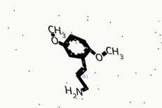 COc1ccc(OC)c(/C=C/CN)c1